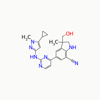 Cn1nc(Nc2nccc(-c3cc(C#N)c4c(c3)C(C)(CO)CN4)n2)cc1C1CC1